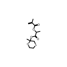 C=C(C)C(=O)OC(C)C(=O)OC1(C)CSCCO1